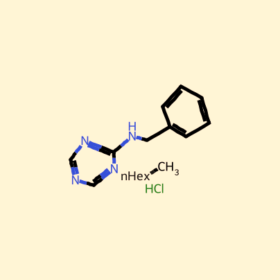 CCCCCCC.Cl.c1ccc(CNc2ncncn2)cc1